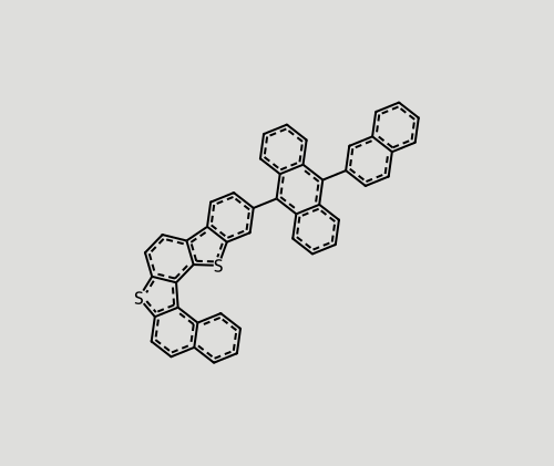 c1ccc2cc(-c3c4ccccc4c(-c4ccc5c(c4)sc4c5ccc5sc6ccc7ccccc7c6c54)c4ccccc34)ccc2c1